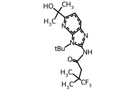 CC(C)(O)c1ccc2nc(NC(=O)CC(C)(C)C(F)(F)F)n(C(C)(C)C)c2n1